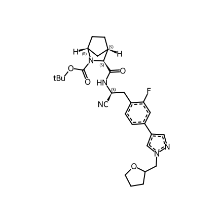 CC(C)(C)OC(=O)N1[C@@H]2CC[C@@H](C2)[C@H]1C(=O)N[C@H](C#N)Cc1ccc(-c2cnn(CC3CCCO3)c2)cc1F